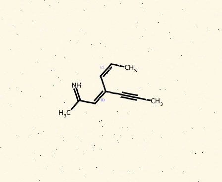 CC#CC(/C=C\C)=C/C(C)=N